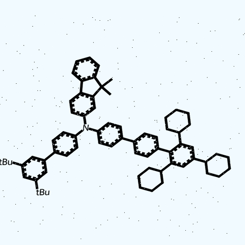 CC(C)(C)c1cc(-c2ccc(N(c3ccc(-c4ccc(-c5c(C6CCCCC6)cc(C6CCCCC6)cc5C5CCCCC5)cc4)cc3)c3ccc4c(c3)C(C)(C)c3ccccc3-4)cc2)cc(C(C)(C)C)c1